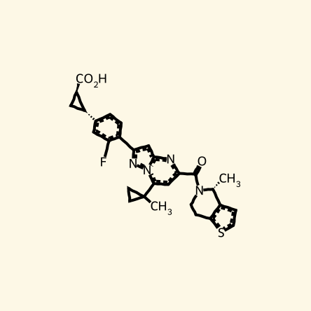 C[C@@H]1c2ccsc2CCN1C(=O)c1cc(C2(C)CC2)n2nc(-c3ccc([C@@H]4C[C@H]4C(=O)O)cc3F)cc2n1